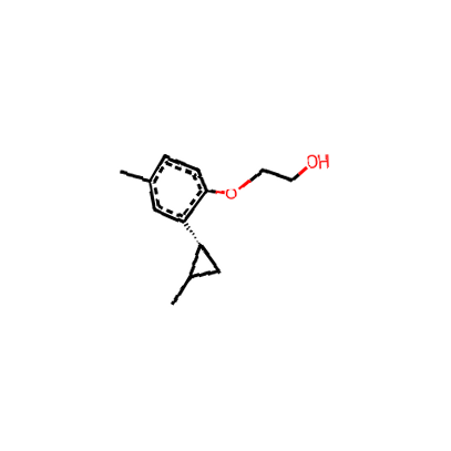 Cc1ccc(OCCO)c([C@@H]2CC2C)c1